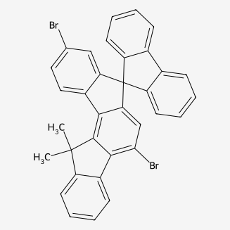 CC1(C)c2ccccc2-c2c(Br)cc3c(c21)-c1ccc(Br)cc1C31c2ccccc2-c2ccccc21